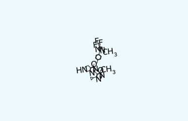 COc1ncnc(C2CC2)c1-c1nc2c(c(OCc3ccc(-c4nc(C(F)(F)F)cn4C)cc3)n1)CCNC2